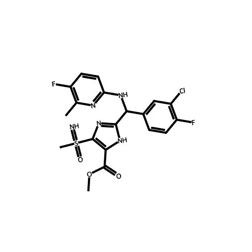 COC(=O)c1[nH]c(C(Nc2ccc(F)c(C)n2)c2ccc(F)c(Cl)c2)nc1S(C)(=N)=O